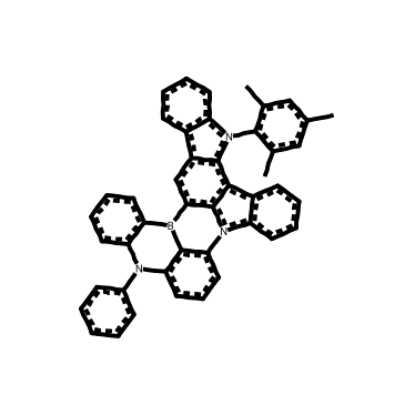 Cc1cc(C)c(-n2c3ccccc3c3cc4c5c(c6ccccc6n5-c5cccc6c5B4c4ccccc4N6c4ccccc4)c32)c(C)c1